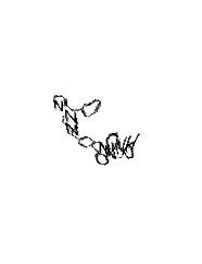 O=C1CCN(N2Cc3cc(CN4CCN(C(c5ccccc5)c5ccccn5)CC4)ccc3C2=O)C(=O)N1